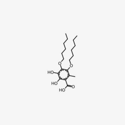 CCCCCCOc1c(C)c(C(=O)O)c(O)c(O)c1OCCCCCC